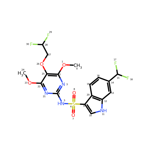 COc1nc(NS(=O)(=O)c2c[nH]c3cc(C(F)F)ccc23)nc(OC)c1OCC(F)F